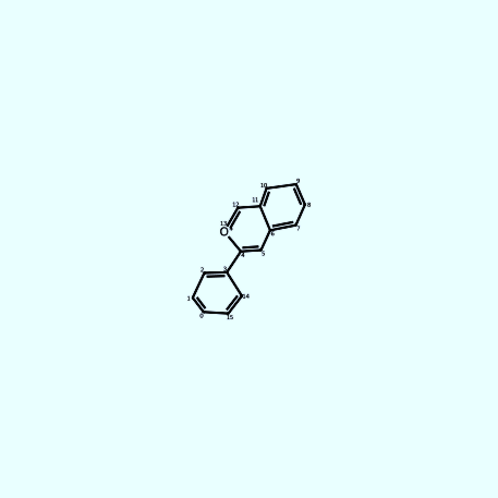 c1ccc(-c2cc3ccccc3c[o+]2)cc1